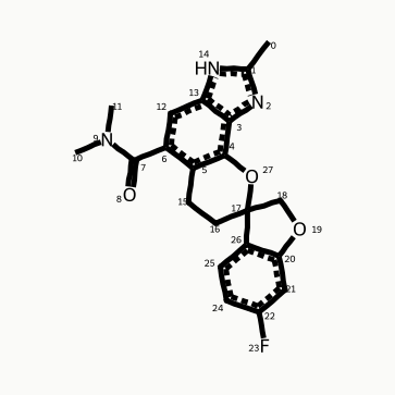 Cc1nc2c3c(c(C(=O)N(C)C)cc2[nH]1)CCC1(COc2cc(F)ccc21)O3